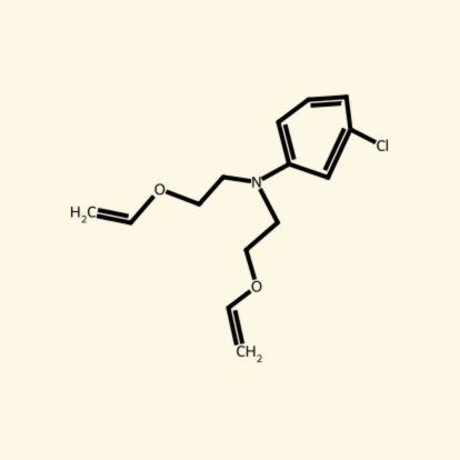 C=COCCN(CCOC=C)c1cccc(Cl)c1